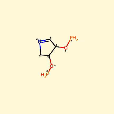 POC1C=NCC1OP